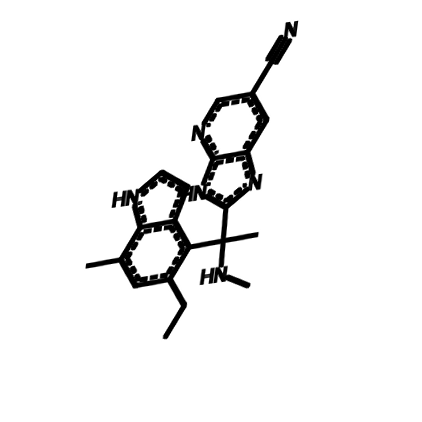 CCc1cc(C)c2[nH]ccc2c1C(C)(NC)c1nc2cc(C#N)cnc2[nH]1